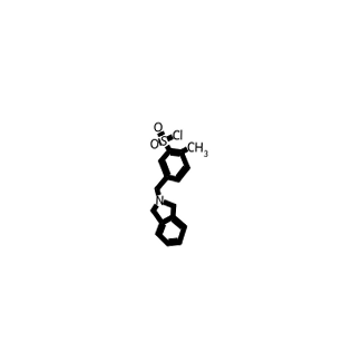 Cc1ccc(CN2Cc3ccccc3C2)cc1S(=O)(=O)Cl